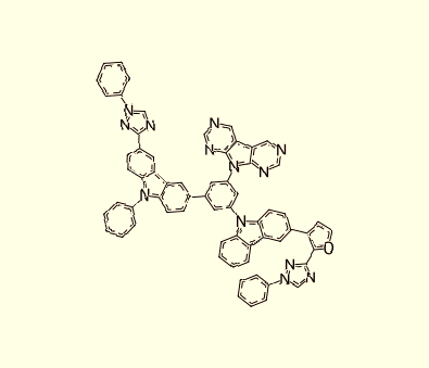 c1ccc(-n2cnc(-c3ccc4c(c3)c3cc(-c5cc(-n6c7ccccc7c7cc(-c8ccoc8-c8ncn(-c9ccccc9)n8)ccc76)cc(-n6c7ncncc7c7cncnc76)c5)ccc3n4-c3ccccc3)n2)cc1